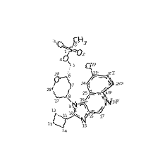 CS(=O)(=O)OC[C@@H]1CC(n2c(C3CCC3)nc3cnc4ccc(Cl)cc4c32)CCO1